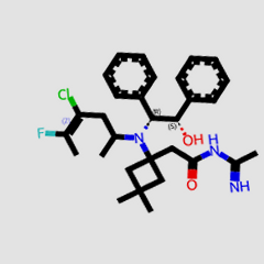 CC(=N)NC(=O)CC1(N(C(C)C/C(Cl)=C(\C)F)[C@H](c2ccccc2)[C@@H](O)c2ccccc2)CC(C)(C)C1